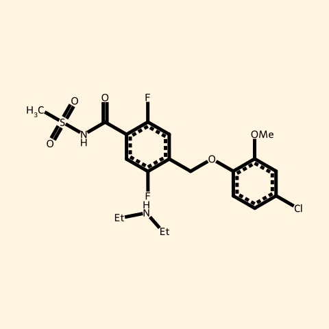 CCNCC.COc1cc(Cl)ccc1OCc1cc(F)c(C(=O)NS(C)(=O)=O)cc1F